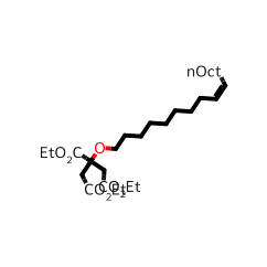 CCCCCCCC/C=C\CCCCCCCCOC(CC(=O)OCC)(CC(=O)OCC)C(=O)OCC